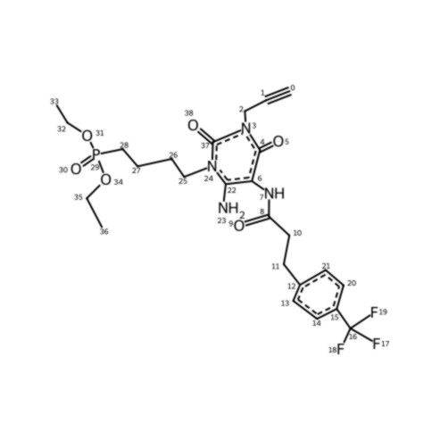 C#CCn1c(=O)c(NC(=O)CCc2ccc(C(F)(F)F)cc2)c(N)n(CCCCP(=O)(OCC)OCC)c1=O